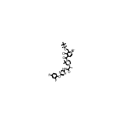 C[C@@H](C(=O)Nc1cnc(Oc2ccc(F)cc2F)cn1)N1CCN(C(=O)c2cc[n+]([O-])c(CO[Si](C)(C)C(C)(C)C)c2Cl)C(C)(C)C1